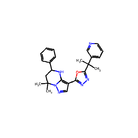 CC(C)(c1cccnc1)c1nnc(-c2cnn3c2NC(c2ccccc2)CC3(C)C)o1